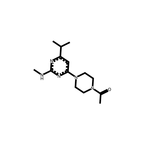 CNc1nc(C(C)C)cc(N2CCN(C(C)=O)CC2)n1